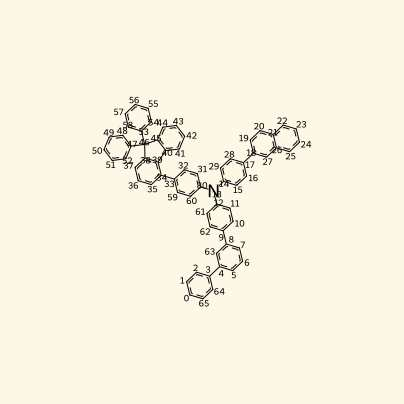 c1ccc(-c2cccc(-c3ccc(N(c4ccc(-c5ccc6ccccc6c5)cc4)c4ccc(-c5cccc6c5-c5ccccc5C6(c5ccccc5)c5ccccc5)cc4)cc3)c2)cc1